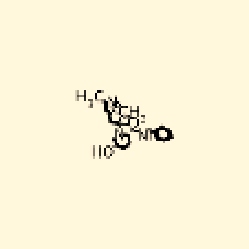 COC(Cc1cc(C)no1)N1C[C@H](O)CC[C@H]1C(=O)NCc1ccccc1